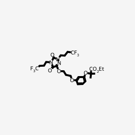 CCOC(=O)C(C)(C)Oc1cccc(OCCCOc2nn(CCCC(F)(F)F)c(=O)n(CCCC(F)(F)F)c2=O)c1